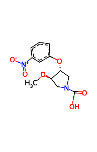 CO[C@@H]1CN(C(=O)O)C[C@H]1Oc1cccc([N+](=O)[O-])c1